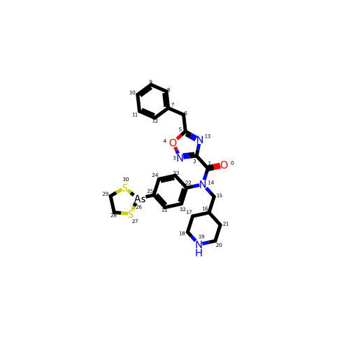 O=C(c1noc(Cc2ccccc2)n1)N(CC1CCNCC1)c1ccc([As]2SCCS2)cc1